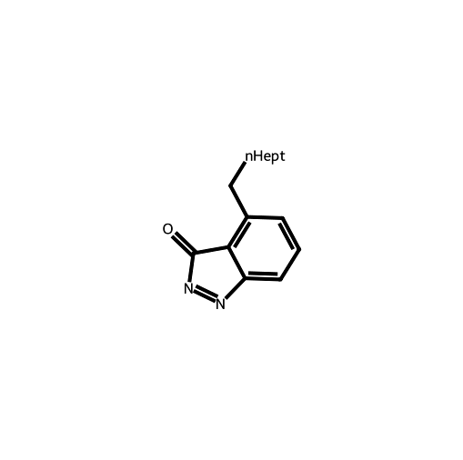 CCCCCCCCc1cccc2c1C(=O)N=N2